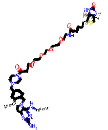 CCCCCNc1nc(N)nc2ccn(Cc3ccc(CN4CCN(C(=O)CCOCCOCCOCCOCCNC(=O)CCCC[C@@H]5SC[C@@H]6NC(=O)N[C@@H]65)CC4)cc3OC)c12